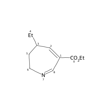 CCOC(=O)C1=CC(CC)CCN=C1